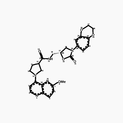 COc1ccc2nccc(N3CCC(C(=O)NC[C@@H]4CN(c5ccc6c(c5)OCCO6)C(=O)O4)C3)c2n1